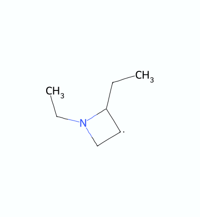 CCC1[CH]CN1CC